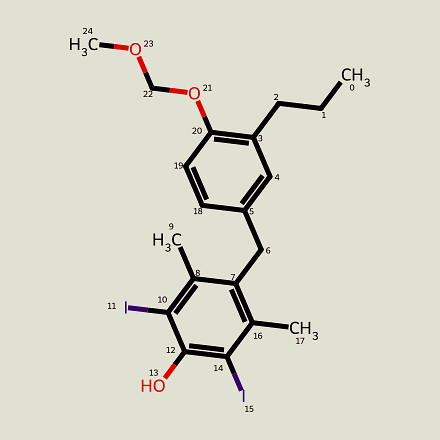 CCCc1cc(Cc2c(C)c(I)c(O)c(I)c2C)ccc1OCOC